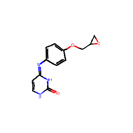 O=c1[nH]cc/c(=N/c2ccc(OCC3CO3)cc2)[nH]1